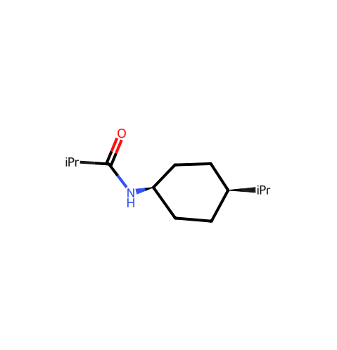 CC(C)C(=O)N[C@H]1CC[C@@H](C(C)C)CC1